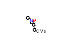 COc1cccc(-c2ccc3c(=O)n(Cc4ccccc4)ccc3c2)c1